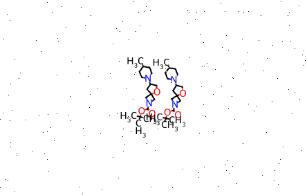 CC1CCN(C2COC3(C2)CN(C(=O)OC(C)(C)C)C3)CC1.CC1CCN(C2COC3(C2)CN(C(=O)OC(C)(C)C)C3)CC1